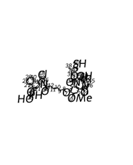 COc1cc2c(cc1OCCCCCC(=O)N1C[C@@H](Cl)c3c1cc(OPO)c1ccccc31)N(C(=O)OCC(C)SS)C(O)[C@@H]1CCCN1C2=O